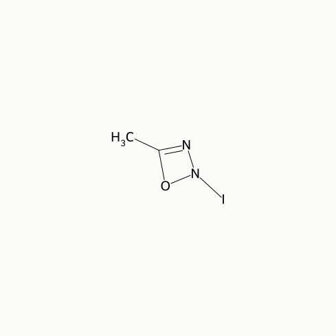 Cc1nn(I)o1